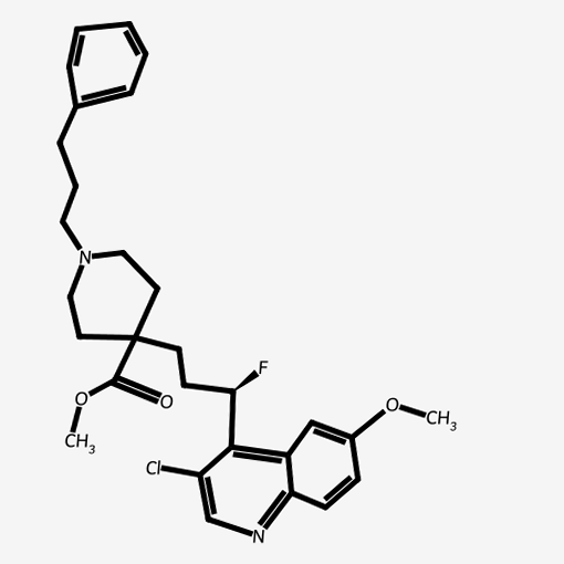 COC(=O)C1(CC[C@@H](F)c2c(Cl)cnc3ccc(OC)cc23)CCN(CCCc2ccccc2)CC1